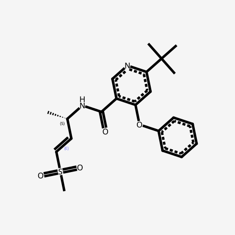 C[C@@H](/C=C/S(C)(=O)=O)NC(=O)c1cnc(C(C)(C)C)cc1Oc1ccccc1